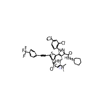 CN(C)/C(=C/[N+](=O)[O-])NCc1c(C(=O)NN2CCCCC2)nn(-c2ccc(Cl)cc2Cl)c1-c1ccc(C#Cc2ccc(C(F)(F)F)cc2)s1